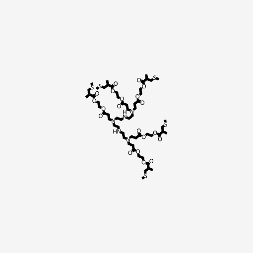 CSCC(C)C(=O)OCCOC(=O)CCN(CCNCCN(CCC(=O)OCCOC(=O)C(C)CSC)CCC(=O)OCCOC(=O)C(C)CSC)CCNCCN(CCC(=O)OCCOC(=O)C(C)CSC)CCC(=O)OCCOC(=O)C(C)CSC